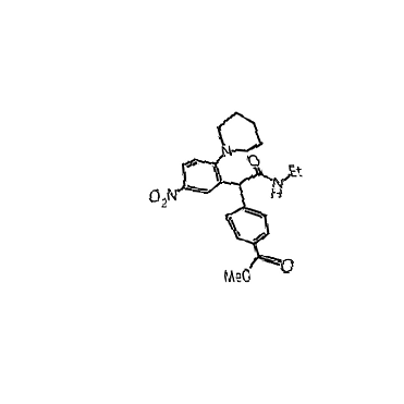 CCNC(=O)C(c1ccc(C(=O)OC)cc1)c1cc([N+](=O)[O-])ccc1N1CCCCC1